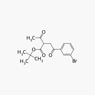 CC(=O)C(CC(=O)c1cccc(Br)c1)C(=O)OC(C)(C)C